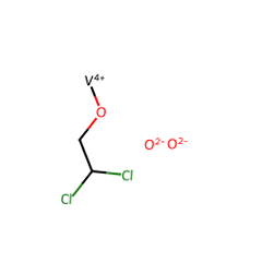 ClC(Cl)C[O][V+4].[O-2].[O-2]